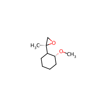 CO[C@@H]1CCCCC1[C@@]1(C)CO1